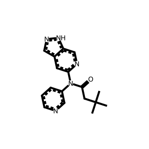 CC(C)(C)CC(=O)N(c1cccnc1)c1cc2cn[nH]c2cn1